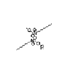 CCCCCCCCCCCCN1C(=O)C(c2ccc(C)cc2)=c2ccc3c4c(ccc3c21)=C(c1ccc(-c2ccc(C)s2)cc1)C(=O)N4CCCCCCCCCCCC